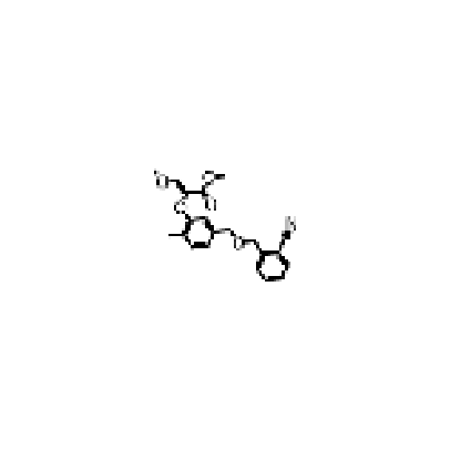 CO/C=C(\Oc1cc(COCc2ccccc2C#N)ccc1C)C(=O)OC